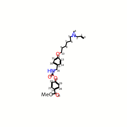 C=CCN(C)CCCCCCOc1ccc(CNC(=O)Oc2ccc(C(=O)OC)cc2)cc1